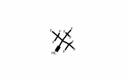 C#CC(C(F)(F)F)(C(F)(F)F)C(F)(F)F